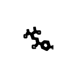 CC(=O)C(=CC=C(Cl)c1ccc(I)cc1)C(C)=O